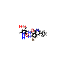 Cc1cc(CO)c(CNC(=O)c2cc(Br)cc3c2C=NCC(C2CCCC2)=C3)c(=O)[nH]1